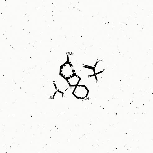 COc1ccc2c(c1)CC1(CCNCC1)[C@@H]2N[S+]([O-])C(C)(C)C.O=C(O)C(F)(F)F